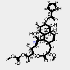 COC(=O)O[C@H](C)[C@H]1OC(=O)[C@@H](OC)CC2C=C[C@H]3[C@H]4O[C@]2(/C(C)=C/[C@H]1C)[C@@H]3[C@H](O)[C@@H](C)[C@H]4OC(=O)c1ccc[nH]1